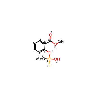 COP(O)(=S)Oc1ccccc1C(=O)OC(C)C